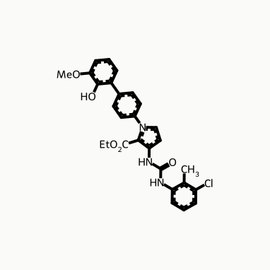 CCOC(=O)c1c(NC(=O)Nc2cccc(Cl)c2C)ccn1-c1ccc(-c2cccc(OC)c2O)cc1